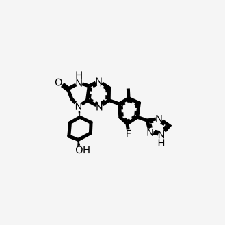 Cc1cc(-c2nc[nH]n2)c(F)cc1-c1cnc2c(n1)N([C@H]1CC[C@H](O)CC1)CC(=O)N2